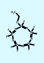 CCOP1(F)=NP(F)(F)=NP(F)(F)=NP(F)(F)=NP(F)(F)=N1